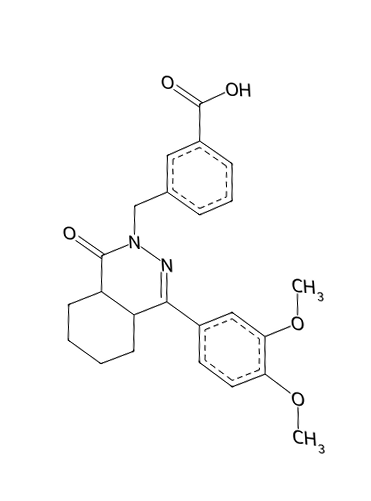 COc1ccc(C2=NN(Cc3cccc(C(=O)O)c3)C(=O)C3CCCCC23)cc1OC